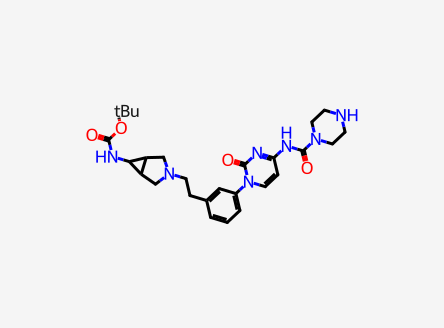 CC(C)(C)OC(=O)NC1C2CN(CCc3cccc(-n4ccc(NC(=O)N5CCNCC5)nc4=O)c3)CC21